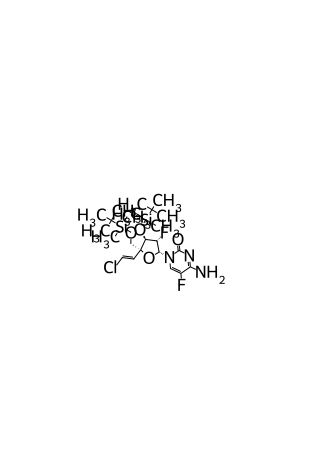 CC(C)(C)[Si](C)(C)OC[C@@]1(C=CCl)O[C@@H](n2cc(F)c(N)nc2=O)[C@@H](F)[C@@H]1O[Si](C)(C)C(C)(C)C